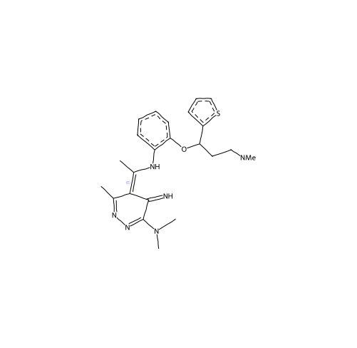 CNCCC(Oc1ccccc1N/C(C)=C1\C(=N)C(N(C)C)=NN=C1C)c1cccs1